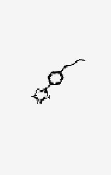 CCCCc1ccc(-c2nn[c]o2)cc1